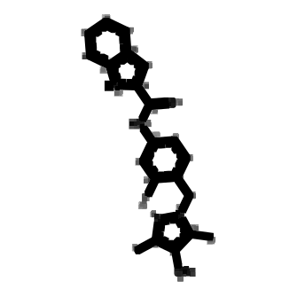 CC(=O)Oc1c(C)nn(Cc2ccc(NC(=O)c3cc4ccccc4[nH]3)cc2F)c1C